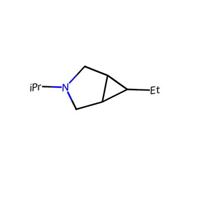 CCC1C2CN(C(C)C)CC12